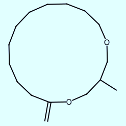 C=C1CCCCCCCCCCOCC(C)CO1